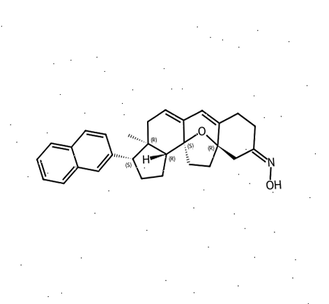 C[C@]12CC=C3C=C4CCC(=NO)C[C@]45CC[C@]3(O5)[C@@H]1CC[C@@H]2c1ccc2ccccc2c1